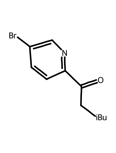 CCC(C)CC(=O)c1ccc(Br)cn1